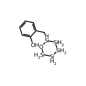 Oc1ccccc1C[SiH]1O[SiH2][SiH2][SiH2][SiH2]1